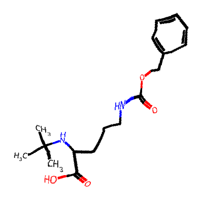 CC(C)(C)NC(CCCNC(=O)OCc1ccccc1)C(=O)O